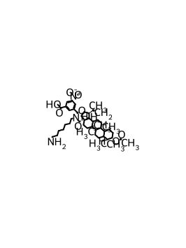 C=C(C)[C@@H]1CC[C@]2(C(=O)N(CCCCCCCN)C(=O)c3cc(C(=O)O)cc([N+](=O)[O-])c3)CC[C@]3(C)[C@H](CCC4[C@@]5(C)CC[C@H](OC(C)=O)C(C)(C)[C@@H]5CC[C@]43C)[C@@H]12